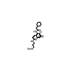 CNCCCN(C)c1ccc2c(NC(=O)CC3CCCCC3)c(Cl)ccc2n1.Cl.Cl